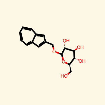 OC[C@H]1OC(OCc2cc3cccccc-3c2)[C@H](O)[C@@H](O)[C@@H]1O